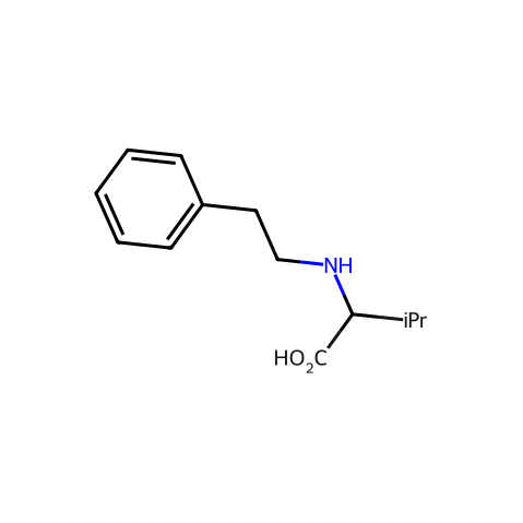 CC(C)C(NCCc1ccccc1)C(=O)O